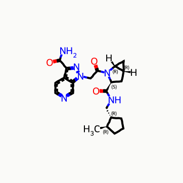 C[C@@H]1CCC[C@H]1CNC(=O)[C@@H]1C[C@H]2C[C@H]2N1C(=O)Cn1nc(C(N)=O)c2ccncc21